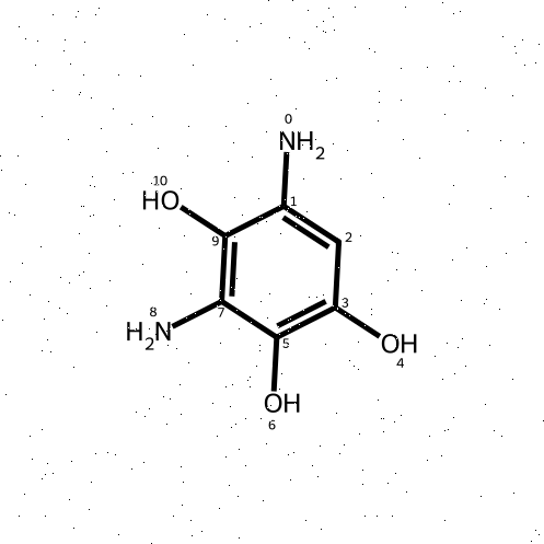 Nc1cc(O)c(O)c(N)c1O